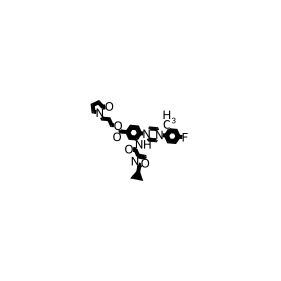 Cc1cc(F)ccc1N1CCN(c2ccc(C(=O)OCCCN3CCCC3=O)cc2NC(=O)c2coc(C3CC3)n2)CC1